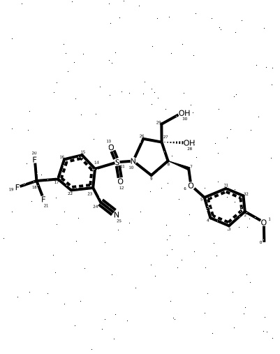 COc1ccc(OC[C@H]2CN(S(=O)(=O)c3ccc(C(F)(F)F)cc3C#N)C[C@@]2(O)CO)cc1